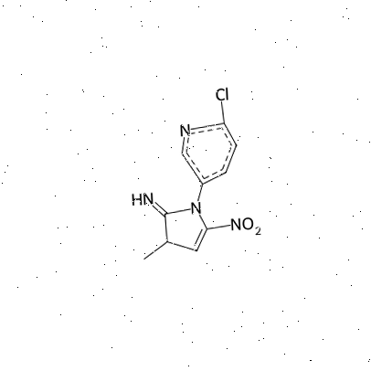 CC1C=C([N+](=O)[O-])N(c2ccc(Cl)nc2)C1=N